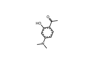 CC(=O)c1ccc(N(C)C)cc1O